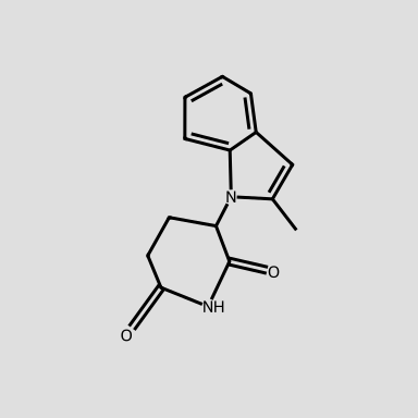 Cc1cc2ccccc2n1C1CCC(=O)NC1=O